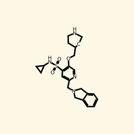 O=S(=O)(NC1CC1)c1cc(CN2Cc3ccccc3C2)ncc1OCC1CCNCC1